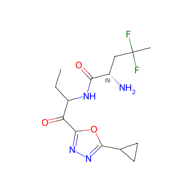 CCC(NC(=O)[C@@H](N)CC(C)(F)F)C(=O)c1nnc(C2CC2)o1